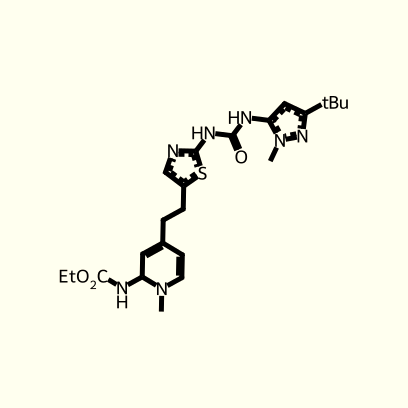 CCOC(=O)NC1C=C(CCc2cnc(NC(=O)Nc3cc(C(C)(C)C)nn3C)s2)C=CN1C